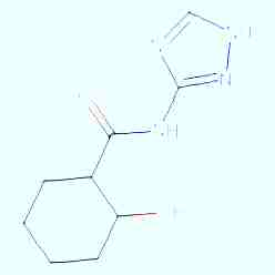 O=C(Nc1nc[nH]n1)C1CCCCC1O